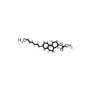 CCCCCCC[C@H]1CCC2C(CCC3C[C@@H](OC(C)=O)CCC32)C1